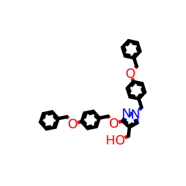 OCc1cn(Cc2ccc(OCc3ccccc3)cc2)nc1OCc1ccc(OCc2ccccc2)cc1